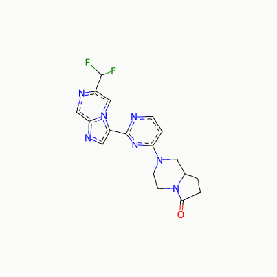 O=C1CCC2CN(c3ccnc(-c4cnc5cnc(C(F)F)cn45)n3)CCN12